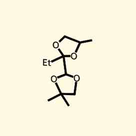 CCC1(C2OCC(C)(C)O2)OCC(C)O1